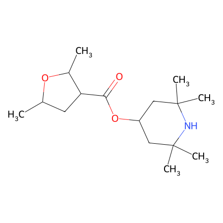 CC1CC(C(=O)OC2CC(C)(C)NC(C)(C)C2)C(C)O1